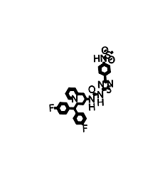 CS(=O)(=O)Nc1ccc(-c2nsc(NC(=O)NC(CCC(c3ccc(F)cc3)c3ccc(F)cc3)Cc3ccccn3)n2)cc1